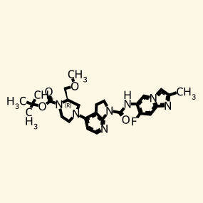 COC[C@H]1CN(c2ccnc3c2CCN3C(=O)Nc2cn3cc(C)nc3cc2F)CCN1C(=O)OC(C)(C)C